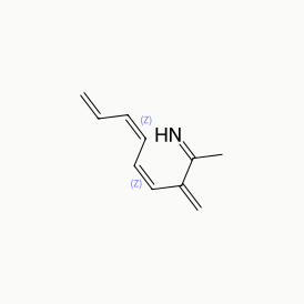 C=C/C=C\C=C/C(=C)C(C)=N